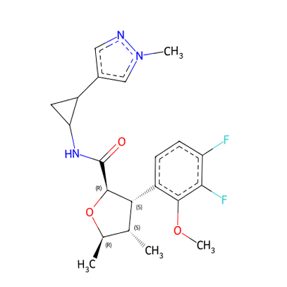 COc1c([C@@H]2[C@H](C)[C@@H](C)O[C@H]2C(=O)NC2CC2c2cnn(C)c2)ccc(F)c1F